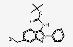 CC(C)(C)OC(=O)Nc1c2ccc(CBr)cc2nn1-c1ccccc1